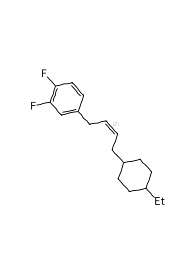 CCC1CCC(C/C=C\Cc2ccc(F)c(F)c2)CC1